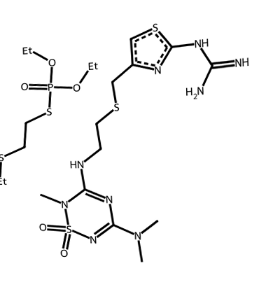 CCOP(=O)(OCC)SCCSCC.CN(C)C1=NS(=O)(=O)N(C)C(NCCSCc2csc(NC(=N)N)n2)=N1